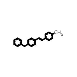 Cc1ccc(C=Cc2ccc(Cc3ccccc3)cc2)cc1